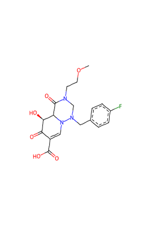 COCCN1CN(Cc2ccc(F)cc2)N2C=C(C(=O)O)C(=O)[C@@H](O)C2C1=O